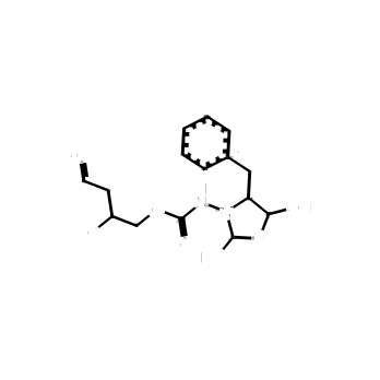 CC(CC=O)COC(=O)NN1C(C)OC(O)C1Cc1ccccc1